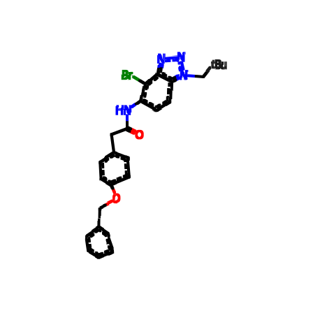 CC(C)(C)Cn1nnc2c(Br)c(NC(=O)Cc3ccc(OCc4ccccc4)cc3)ccc21